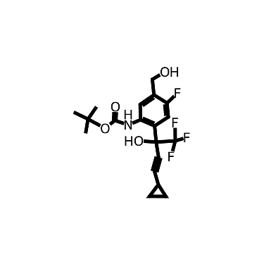 CC(C)(C)OC(=O)Nc1cc(CO)c(F)cc1C(O)(C#CC1CC1)C(F)(F)F